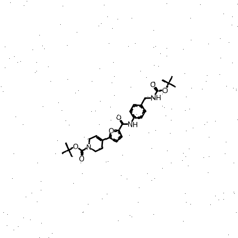 CC(C)(C)OC(=O)NCc1ccc(NC(=O)c2ccc(C3=CCN(C(=O)OC(C)(C)C)CC3)o2)cc1